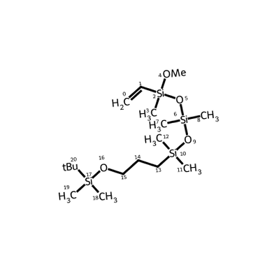 C=C[Si](C)(OC)O[Si](C)(C)O[Si](C)(C)CCCO[Si](C)(C)C(C)(C)C